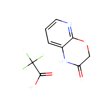 O=C(O)C(F)(F)F.O=C1COc2ncccc2N1